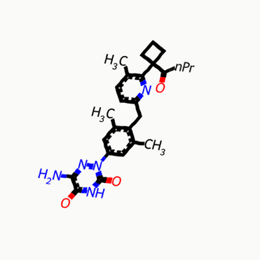 CCCC(=O)C1(c2nc(Cc3c(C)cc(-n4nc(N)c(=O)[nH]c4=O)cc3C)ccc2C)CCC1